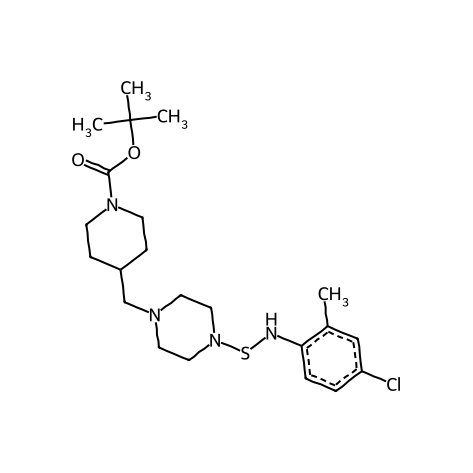 Cc1cc(Cl)ccc1NSN1CCN(CC2CCN(C(=O)OC(C)(C)C)CC2)CC1